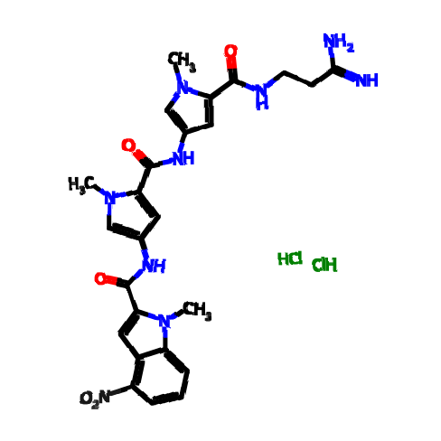 Cl.Cl.Cn1cc(NC(=O)c2cc(NC(=O)c3cc4c([N+](=O)[O-])cccc4n3C)cn2C)cc1C(=O)NCCC(=N)N